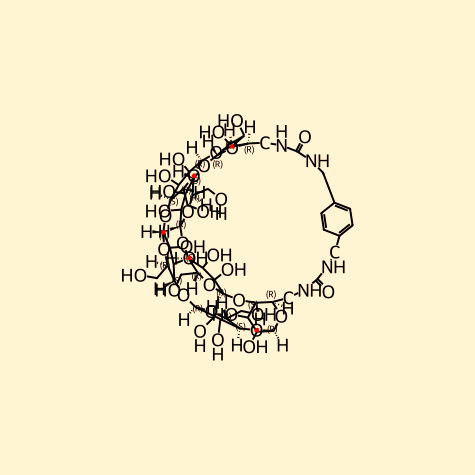 O=C1NCc2ccc(cc2)CNC(=O)NC[C@H]2O[C@@H]3O[C@H]4C(O)C(O)[C@H](O[C@@H]4CO)O[C@H]4C(O)C(O)[C@H](O[C@@H]4CO)O[C@H]4C(O)C(O)[C@H](O[C@@H]4CO)O[C@H]4C(O)C(O)[C@H](O[C@@H]4CN1)O[C@H]1C(O)C(O)[C@H](O[C@@H]1CO)O[C@H]1C(O)C(O)[C@H](O[C@@H]1CO)O[C@H]2C(O)C3O